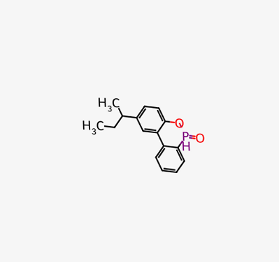 CCC(C)c1ccc2c(c1)-c1ccccc1[PH](=O)O2